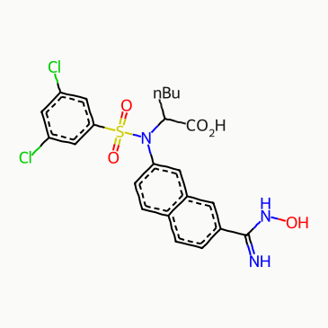 CCCCC(C(=O)O)N(c1ccc2ccc(C(=N)NO)cc2c1)S(=O)(=O)c1cc(Cl)cc(Cl)c1